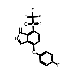 O=S(=O)(c1ccc(Oc2ccc(F)cc2)c2cn[nH]c12)C(F)(F)F